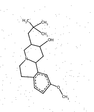 COc1ccc2c(c1)C1CC(O)C(CC(C)(C)C)CN1CC2